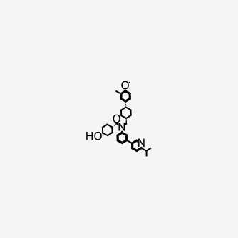 COc1ccc([C@H]2CC[C@H](CN(c3cccc(-c4ccc(C(C)C)nc4)c3)C(=O)[C@H]3CC[C@H](O)CC3)CC2)cc1C